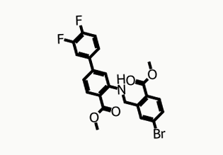 COC(=O)c1ccc(Br)cc1CNc1cc(-c2ccc(F)c(F)c2)ccc1C(=O)OC